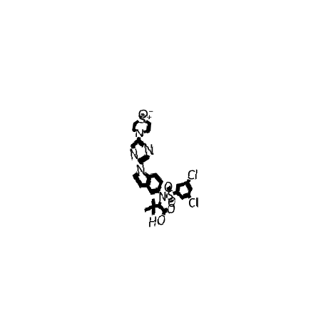 CC(C)(C)C(C(=O)O)N(c1ccc2c(ccn2-c2cnc(N3CC[S+]([O-])CC3)cn2)c1)S(=O)(=O)c1cc(Cl)cc(Cl)c1